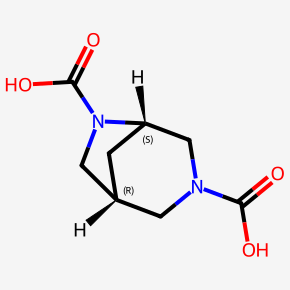 O=C(O)N1C[C@H]2C[C@@H](C1)N(C(=O)O)C2